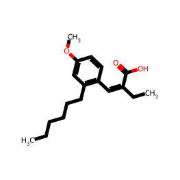 CCCCCCc1cc(OC)ccc1C=C(CC)C(=O)O